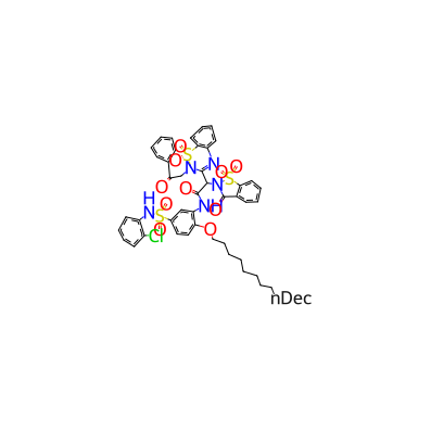 CCCCCCCCCCCCCCCCCCOc1ccc(S(=O)(=O)Nc2ccccc2Cl)cc1NC(=O)C(C1=Nc2ccccc2S(=O)(=O)N1CC(=O)c1ccccc1)N1C(=O)c2ccccc2S1(=O)=O